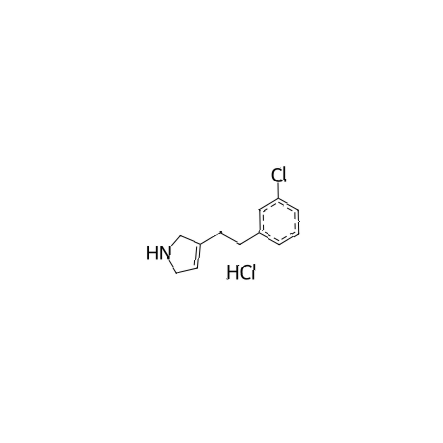 Cl.Clc1cccc(CCC2=CCNC2)c1